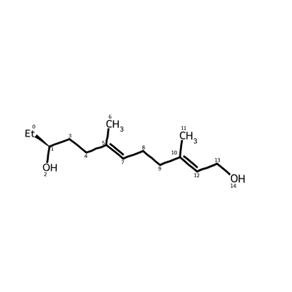 CC[C@H](O)CC/C(C)=C/CC/C(C)=C/CO